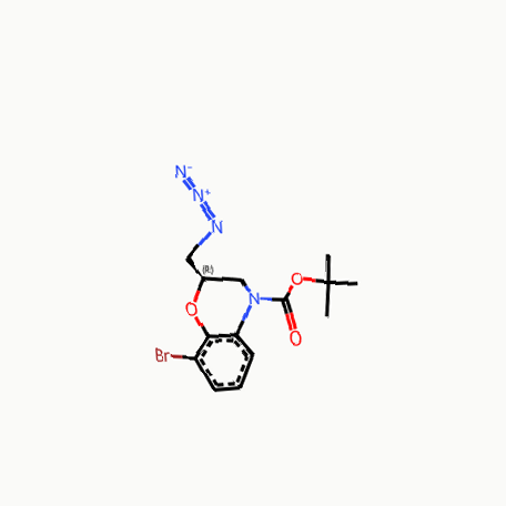 CC(C)(C)OC(=O)N1C[C@H](CN=[N+]=[N-])Oc2c(Br)cccc21